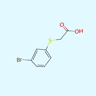 O=C(O)CSc1cccc(Br)c1